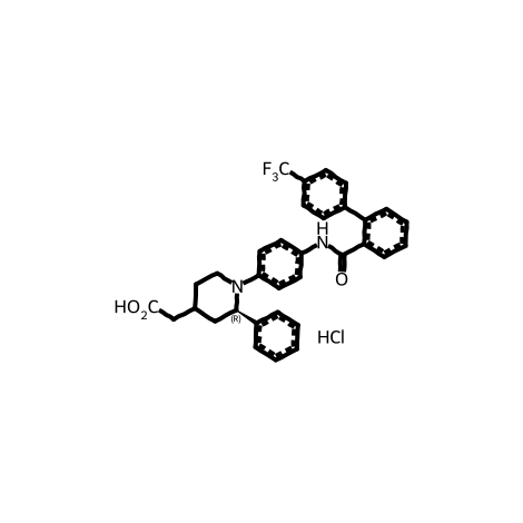 Cl.O=C(O)CC1CCN(c2ccc(NC(=O)c3ccccc3-c3ccc(C(F)(F)F)cc3)cc2)[C@@H](c2ccccc2)C1